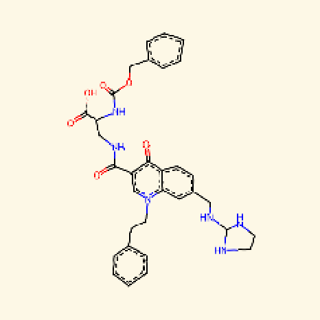 O=C(NC(CNC(=O)c1cn(CCc2ccccc2)c2cc(CNC3NCCN3)ccc2c1=O)C(=O)O)OCc1ccccc1